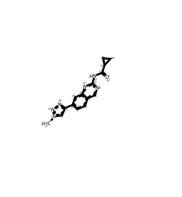 Cn1cc(-c2ccc3cnc(NC(=O)C4CC4)nc3c2)nn1